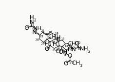 CC(=O)OCC(=NNC(N)=O)[C@@]1(O)[C@H](C)C[C@H]2[C@@H]3CCC4=CC(=NNC(N)=O)CC[C@]4(C)[C@H]3C(=O)C[C@@]21C